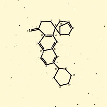 O=C1CCC2(CC3=CCC2C3)c2cc3cc(C4CCCCC4)ccc3cc21